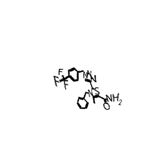 CC1=C(C(N)=O)SC(c2cn(Cc3ccc(C(F)(F)F)cc3)nn2)N1Cc1ccccc1